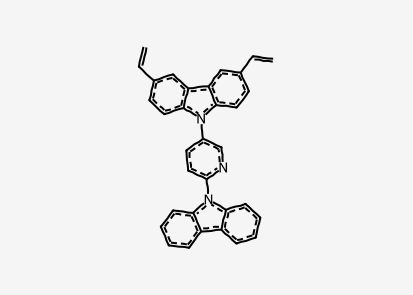 C=Cc1ccc2c(c1)c1cc(C=C)ccc1n2-c1ccc(-n2c3ccccc3c3ccccc32)nc1